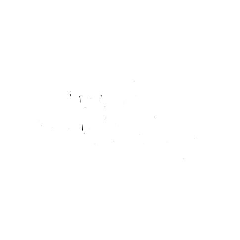 CN(C)[C@@H]1C(O)=C(C(N)=O)C(=O)[C@@]2(O)C(O)=C3C(=O)c4c(O)c(NC(=O)c5cccc(C(F)(F)F)c5)cc(F)c4C[C@H]3C[C@@H]12